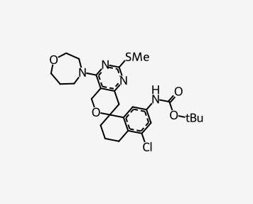 CSc1nc2c(c(N3CCCOCC3)n1)COC1(CCCc3c(Cl)cc(NC(=O)OC(C)(C)C)cc31)C2